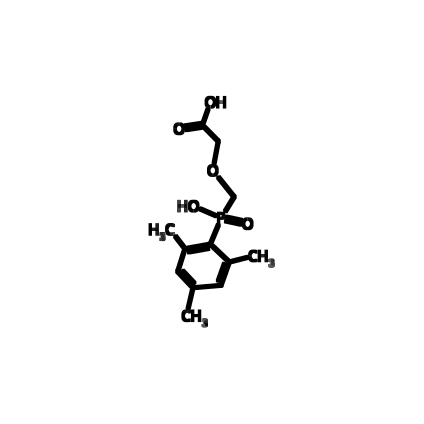 Cc1cc(C)c(P(=O)(O)COCC(=O)O)c(C)c1